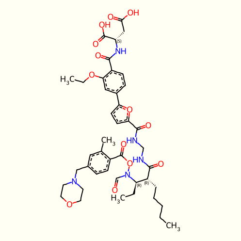 CCCCC[C@@H](C(=O)NCNC(=O)c1ccc(-c2ccc(C(=O)N[C@@H](CC(=O)O)C(=O)O)c(OCC)c2)o1)[C@@H](CC)N(C=O)OC(=O)c1ccc(CN2CCOCC2)cc1C